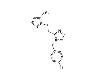 Cn1cnnc1SCc1nccn1Cc1ccc(Cl)cc1